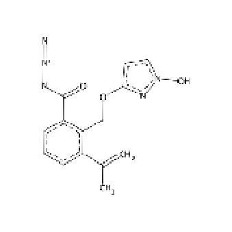 C=C(C)c1cccc(C(=O)N=[N+]=[N-])c1COc1ccn(O)n1